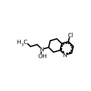 CCCN(O)C1CCc2c(Cl)ccnc2C1